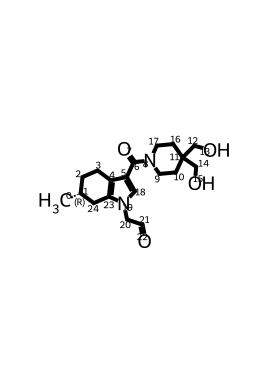 C[C@@H]1CCc2c(C(=O)N3CCC(CO)(CO)CC3)cn(CC=O)c2C1